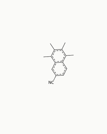 Cc1c(C)c(C)c2cc(C#N)ccc2c1C